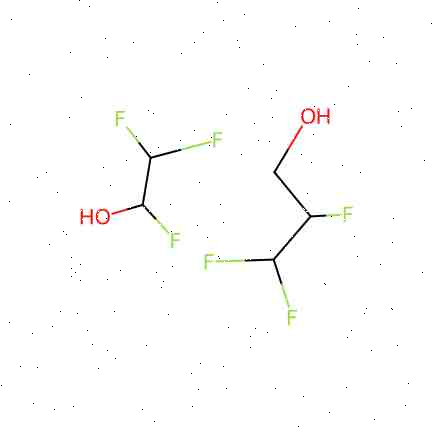 OC(F)C(F)F.OCC(F)C(F)F